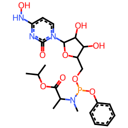 CC(C)OC(=O)C(C)N(C)P(OCC1OC(n2ccc(NO)nc2=O)C(O)C1O)Oc1ccccc1